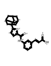 O=C(O)/C=C/c1cccc(NC(=O)c2ccc(C34CC5CC(CC(C5)C3)C4)o2)c1